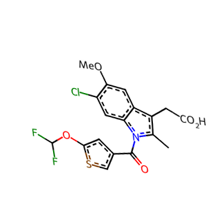 COc1cc2c(CC(=O)O)c(C)n(C(=O)c3csc(OC(F)F)c3)c2cc1Cl